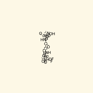 COC[C@H]1C[C@@H](c2ncc(-c3ccc4c(c3)COc3cc5c(ccc6nc([C@@H]7C[C@H](COC(F)F)CN7C(=O)[C@@H](NC(=O)OC)C(C)C)[nH]c65)cc3-4)[nH]2)N(C(=O)[C@H](C(C)C)N(C)C(=O)O)C1